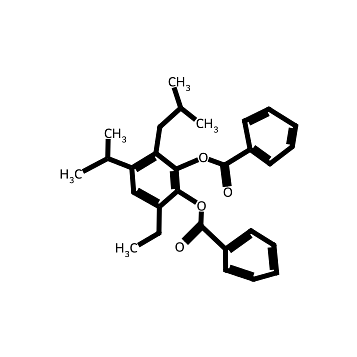 CCc1cc(C(C)C)c(CC(C)C)c(OC(=O)c2ccccc2)c1OC(=O)c1ccccc1